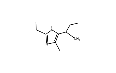 CCc1nc(C)c(C(N)CC)[nH]1